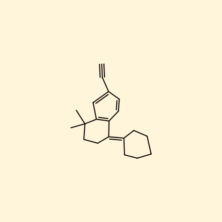 C#Cc1ccc2c(c1)C(C)(C)CCC2=C1CCCCC1